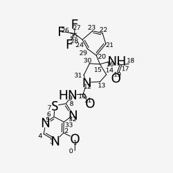 COc1ncnc2sc(NC(=O)N3CCC(NC(C)=O)(c4cccc(C(F)(F)F)c4)CC3)nc12